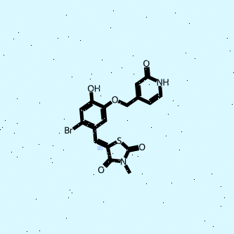 CN1C(=O)S/C(=C\c2cc(OCc3cc[nH]c(=O)c3)c(O)cc2Br)C1=O